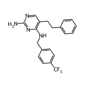 Nc1ncc(CCc2ccccc2)c(NCc2ccc(C(F)(F)F)cc2)n1